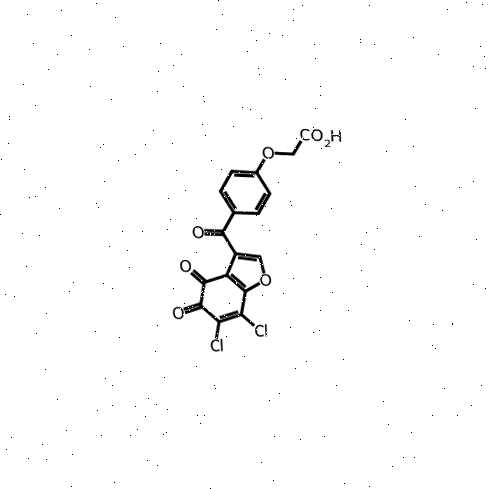 O=C(O)COc1ccc(C(=O)c2coc3c2C(=O)C(=O)C(Cl)=C3Cl)cc1